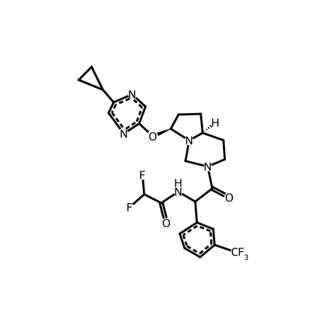 O=C(NC(C(=O)N1CC[C@@H]2CC[C@H](Oc3cnc(C4CC4)cn3)N2C1)c1cccc(C(F)(F)F)c1)C(F)F